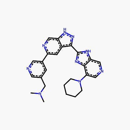 CN(C)Cc1cncc(-c2cc3c(-c4nc5c(N6CCCCC6)cncc5[nH]4)n[nH]c3cn2)c1